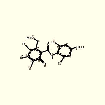 CCOC(=O)c1cc(CC)c(NC(=O)c2c(COC)n(CC)c(CC)c(Br)c2=O)c(CC)c1